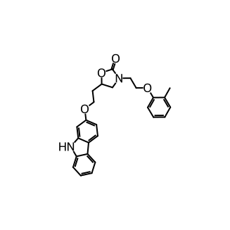 Cc1ccccc1OCCN1CC(CCOc2ccc3c(c2)[nH]c2ccccc23)OC1=O